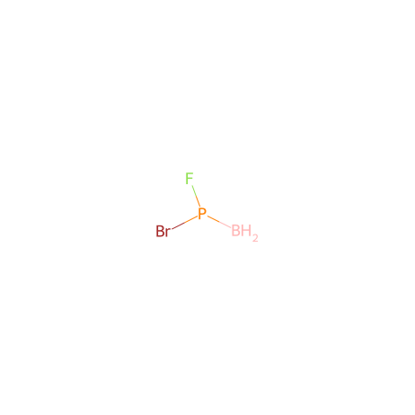 BP(F)Br